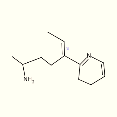 C/C=C(\CCC(C)N)C1=NC=CCC1